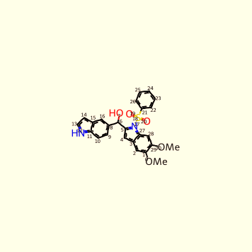 COc1cc2cc(C(O)c3ccc4[nH]ccc4c3)n(S(=O)(=O)c3ccccc3)c2cc1OC